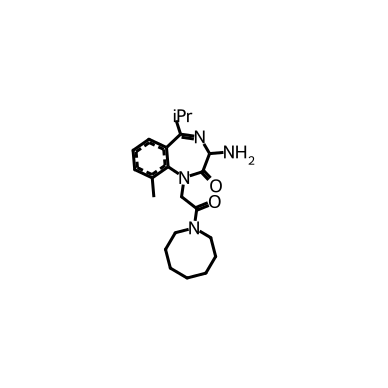 Cc1cccc2c1N(CC(=O)N1CCCCCCC1)C(=O)C(N)N=C2C(C)C